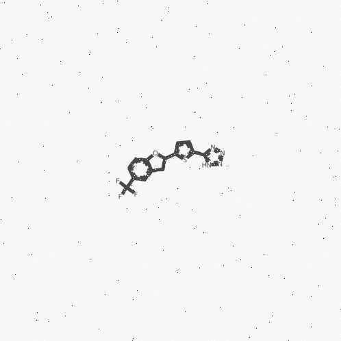 FC(F)(F)c1ccc2c(c1)CC(c1ccc(-c3nnn[nH]3)s1)O2